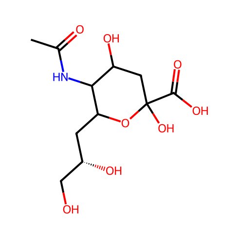 CC(=O)NC1C(O)CC(O)(C(=O)O)OC1C[C@H](O)CO